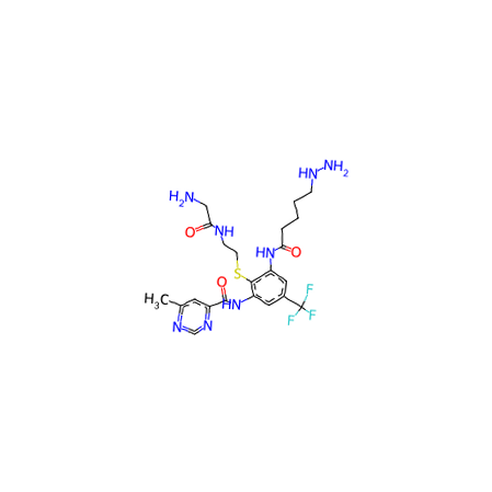 Cc1cc(C(=O)Nc2cc(C(F)(F)F)cc(NC(=O)CCCCNN)c2SCCNC(=O)CN)ncn1